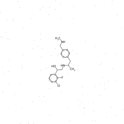 CNCc1ccc(CC(C)NCC(O)c2cccc(Cl)c2F)cc1